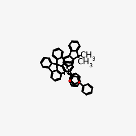 CC1(C)c2ccccc2-c2ccc(N(c3ccc(-c4ccccc4)cc3)c3cccc4c3C3(c5ccccc5-c5ccc(-c6ccccc6)cc53)c3ccccc3-4)cc21